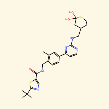 Cc1cc(-c2ccnc(NCC3CCSC(O)(O)C3)n2)ccc1CNC(=O)c1cnc(C(C)(C)C)s1